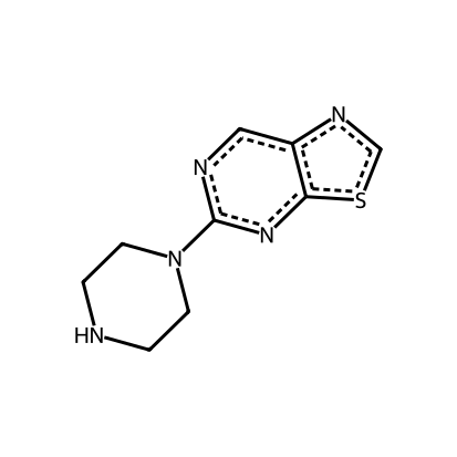 c1nc2cnc(N3CCNCC3)nc2s1